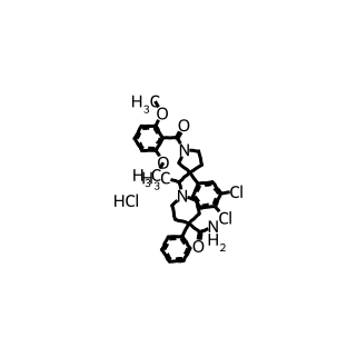 COc1cccc(OC)c1C(=O)N1CCC(c2ccc(Cl)c(Cl)c2)(C(C)N2CCC(C(N)=O)(c3ccccc3)CC2)C1.Cl